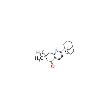 CC1(C)CC(=O)c2ccc(C34CC5CC(CC(C5)C3)C4)nc2C1